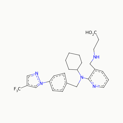 O=C(O)CCNCc1cccnc1N(Cc1ccc(-n2cc(C(F)(F)F)cn2)cc1)C1CCCCC1